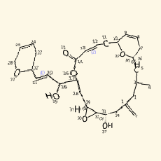 C=C1CC(C)C[C@@H]2CC=CC(C/C=C\C(=O)OC(C(O)/C=C/C3CC=CCO3)C[C@@H]3OC3[C@@H](O)C1)O2